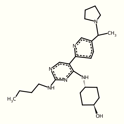 CCCCNc1ncc(-c2ccc(C(C)N3CCCC3)cn2)c(N[C@H]2CC[C@H](O)CC2)n1